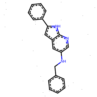 c1ccc(CNc2cnc3[nH]c(-c4ccccc4)cc3c2)cc1